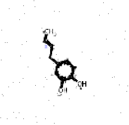 C/C=C/Cc1ccc(O)c(O)c1